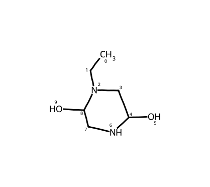 CCN1CC(O)NCC1O